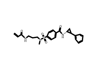 C=CC(=O)NCCCN(C)S(=O)(=O)c1ccc(C(=O)N[C@@H]2CC2c2ccccc2)cc1